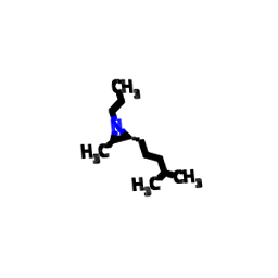 CCCN1[C@H](C)[C@H]1CCCC(C)C